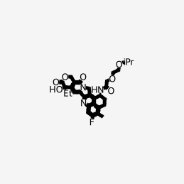 CC[C@@]1(O)C(=O)OCc2c1cc1n(c2=O)Cc2c-1nc1cc(F)c(C)c3c1c2[C@@H](NC(=O)COCCOC(C)C)CC3